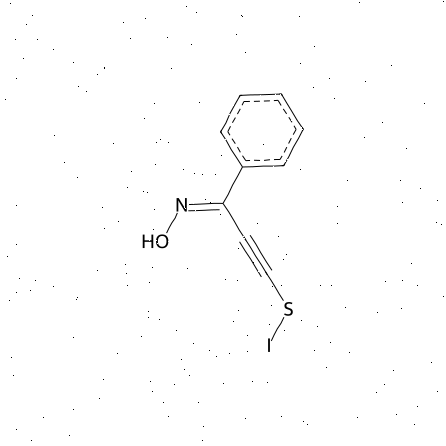 O/N=C(\C#CSI)c1ccccc1